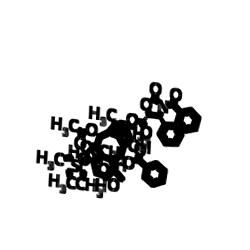 CC[Si](CC)(CC)O[C@H]1C[C@H]2OC[C@@]2(OC(C)=O)[C@H]2[C@H](OC(=O)c3ccccc3)[C@]3(O)C[C@H](OC(=O)[C@@H]4OC(=O)N(C(=O)c5ccccc5)[C@H]4c4ccccc4)C(C)=C([C@@H](OC(C)=O)C(=O)[C@]12C)C3(C)C